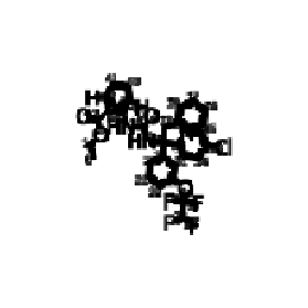 CCOC(=O)[C@@H]1[C@H](NC(=O)N[C@@](Cc2ccccc2)(c2cccc(OC(F)(F)C(F)F)c2)c2ccc(Cl)cn2)[C@H]2C=C[C@@H]1C2